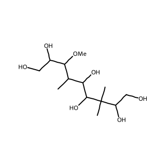 COC(C(O)CO)C(C)C(O)C(O)C(C)(C)C(O)CO